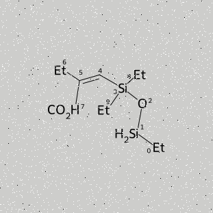 CC[SiH2]O[Si](C=C(CC)C(=O)O)(CC)CC